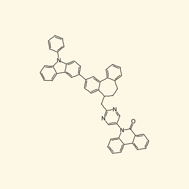 O=c1c2ccccc2c2ccccc2n1-c1cnc(CC2CCc3ccccc3-c3cc(-c4ccc5c(c4)c4ccccc4n5-c4ccccc4)ccc32)nc1